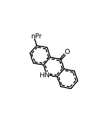 CCCc1ccc2[nH]c3ccccc3c(=O)c2c1